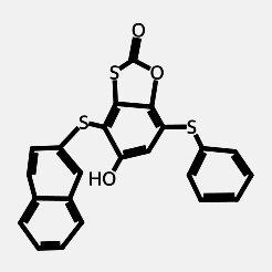 O=c1oc2c(Sc3ccccc3)cc(O)c(Sc3ccc4ccccc4c3)c2s1